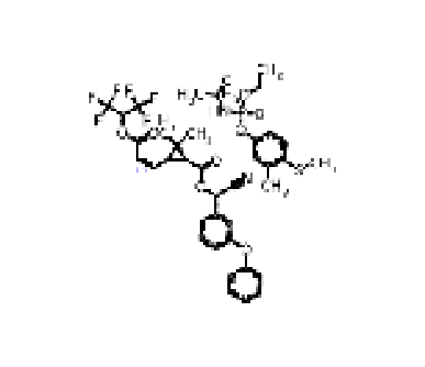 CC1(C)C(/C=C\C(=O)OC(C(F)(F)F)C(F)(F)F)C1C(=O)OC(C#N)c1cccc(Oc2ccccc2)c1.CCOP(=O)(NC(C)C)Oc1ccc(SC)c(C)c1